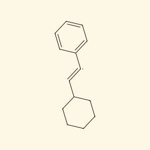 [C](=CC1CCCCC1)c1ccccc1